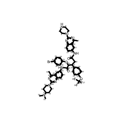 Cc1nc(N2CCNCC2)nc2ccc(NC(=O)CC(c3ccc(OC(F)(F)F)cc3)C(Oc3ccc(Br)cc3)C(=O)Nc3ccc4nc(N5CCC(N(C)C)CC5)nc(C)c4c3)cc12